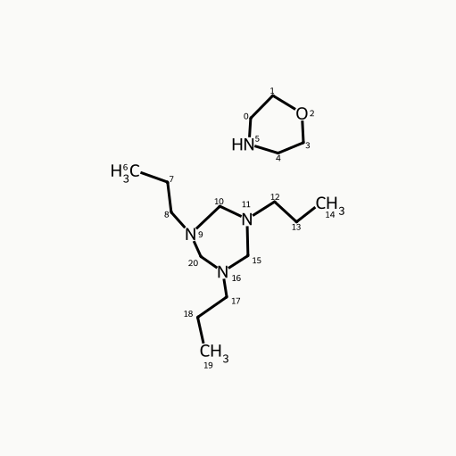 C1COCCN1.CCCN1CN(CCC)CN(CCC)C1